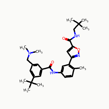 Cc1ccc(NC(=O)c2cc(CN(C)C)cc(C(C)(C)C)c2)cc1-c1cc(C(=O)NCC(C)(C)C)on1